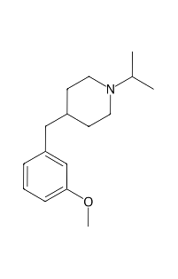 COc1cccc(CC2CCN(C(C)C)CC2)c1